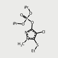 CCSc1c(Cl)c(OP(=O)(OC(C)C)OC(C)C)nn1C